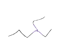 CCCI(CC)CC